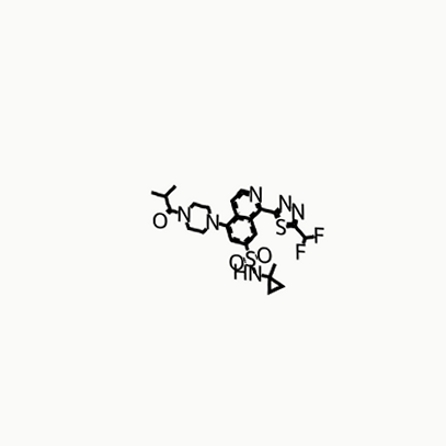 CC(C)C(=O)N1CCN(c2cc(S(=O)(=O)NC3(C)CC3)cc3c(-c4nnc(C(F)F)s4)nccc23)CC1